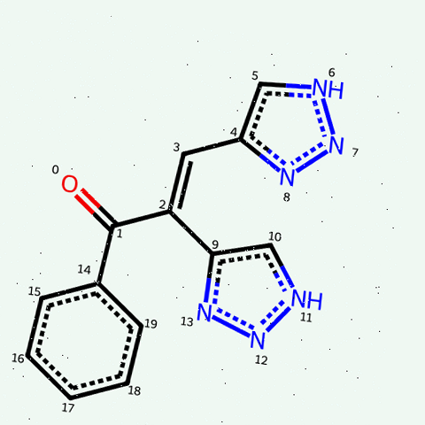 O=C(C(=Cc1c[nH]nn1)c1c[nH]nn1)c1ccccc1